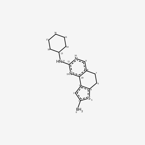 Bc1cc2c(s1)CCc1cnc(NC3CCCCC3)nc1-2